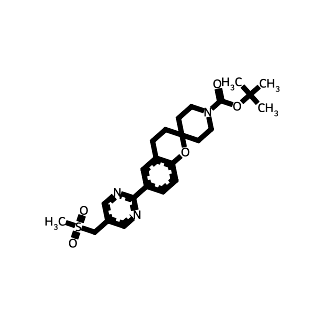 CC(C)(C)OC(=O)N1CCC2(CCc3cc(-c4ncc(CS(C)(=O)=O)cn4)ccc3O2)CC1